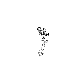 O=C(c1ccn(-c2nn3cccc3c(=O)[nH]2)c1)N1CCC(C(F)(F)F)CC1